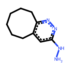 NNc1cc2c(nn1)CCCCCC2